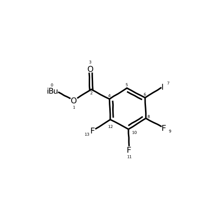 CCC(C)OC(=O)c1cc(I)c(F)c(F)c1F